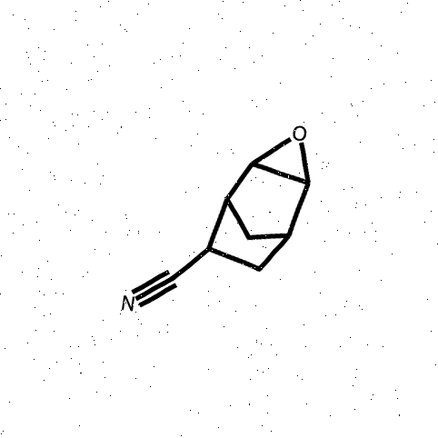 N#CC1CC2CC1C1OC21